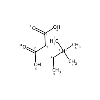 CC[N+](C)(C)C.O=C(O)CC(=O)O